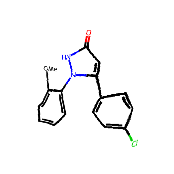 COc1ccccc1-n1[nH]c(=O)cc1-c1ccc(Cl)cc1